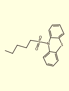 CCCCCS(=O)(=O)N1c2ccccc2Sc2ccccc21